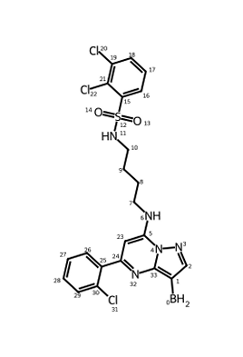 Bc1cnn2c(NCCCCNS(=O)(=O)c3cccc(Cl)c3Cl)cc(-c3ccccc3Cl)nc12